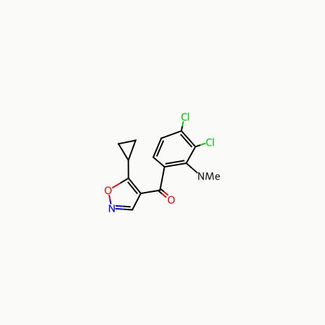 CNc1c(C(=O)c2cnoc2C2CC2)ccc(Cl)c1Cl